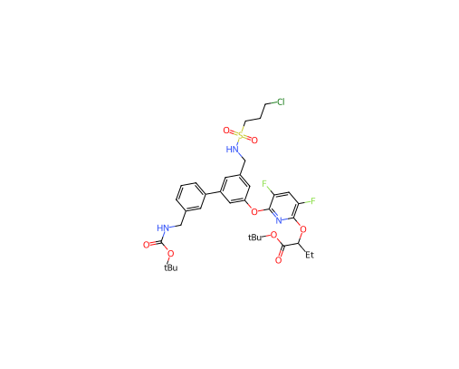 CCC(Oc1nc(Oc2cc(CNS(=O)(=O)CCCCl)cc(-c3cccc(CNC(=O)OC(C)(C)C)c3)c2)c(F)cc1F)C(=O)OC(C)(C)C